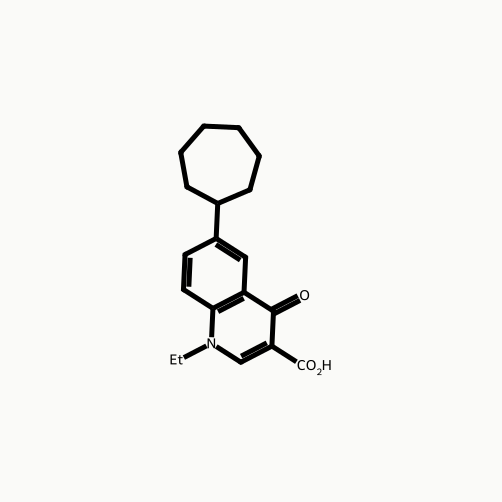 CCn1cc(C(=O)O)c(=O)c2cc(C3CCCCCC3)ccc21